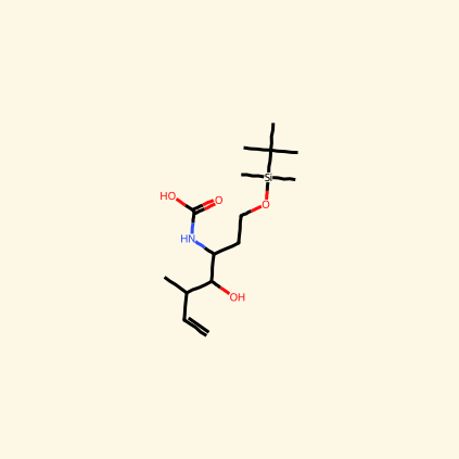 C=CC(C)C(O)C(CCO[Si](C)(C)C(C)(C)C)NC(=O)O